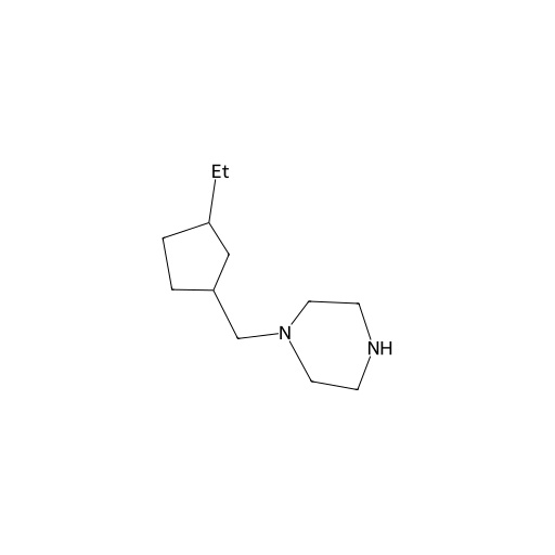 CCC1CCC(CN2CCNCC2)C1